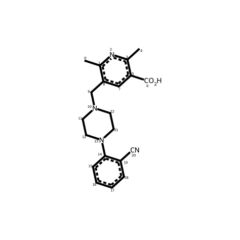 Cc1nc(C)c(C(=O)O)cc1CN1CCN(c2ccccc2C#N)CC1